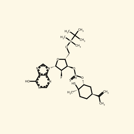 C=C(C)[C@H]1CC[C@@](C)(S)[C@H](O[PH](=S)O[C@H]2[C@@H](F)[C@H](n3cnc4c(O)ncnc43)O[C@@H]2CO[Si](C)(C)C(C)(C)C)C1